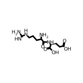 N=C(N)NCCCC(N)C(=O)N[C@@H](CCC(=O)O)C(=O)O